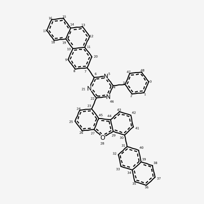 c1ccc(-c2nc(-c3ccc4c(ccc5ccccc54)c3)nc(-c3cccc4oc5c(-c6ccc7ccccc7c6)cccc5c34)n2)cc1